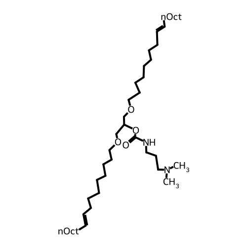 CCCCCCCCC=CCCCCCCCCOCC(COCCCCCCCCC=CCCCCCCCC)OC(=O)NCCCN(C)C